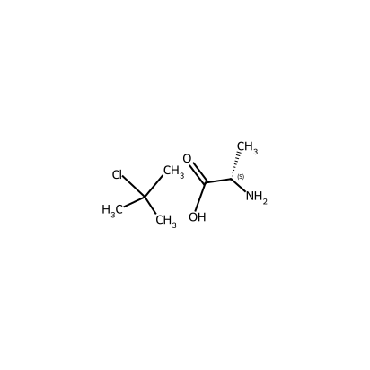 CC(C)(C)Cl.C[C@H](N)C(=O)O